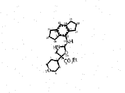 CCOC(=O)C1(C2CCOCC2)CNC(Nc2c3c(cc4c2CCC4)CCC3)O1